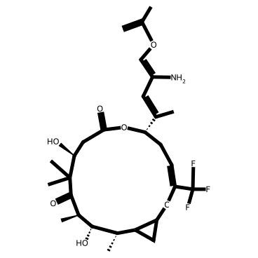 C=C(C)O/C=C(N)/C=C(\C)[C@@H]1C/C=C(/C(F)(F)F)CC2CC2[C@H](C)[C@H](O)[C@@H](C)C(=O)C(C)(C)[C@@H](O)CC(=O)O1